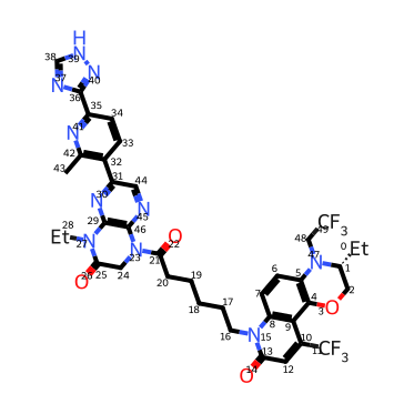 CC[C@@H]1COc2c(ccc3c2c(C(F)(F)F)cc(=O)n3CCCCCC(=O)N2CC(=O)N(CC)c3nc(-c4ccc(-c5nc[nH]n5)nc4C)cnc32)N1CC(F)(F)F